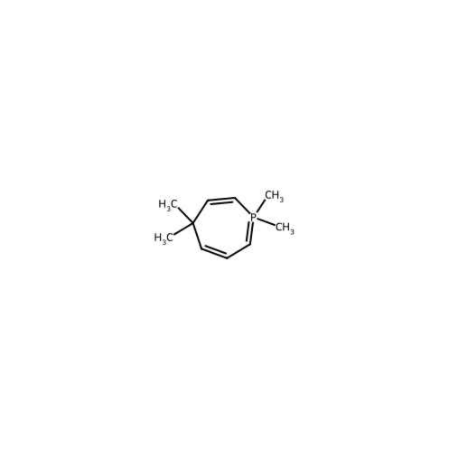 CC1(C)C=CC=P(C)(C)C=C1